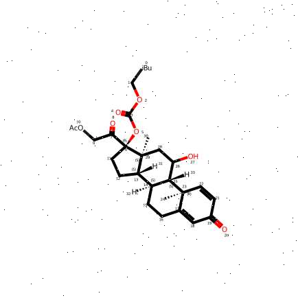 CCC(C)COC(=O)O[C@]1(C(=O)COC(C)=O)CC[C@H]2[C@@H]3CCC4=CC(=O)C=C[C@]4(C)[C@H]3C(O)C[C@@]21C